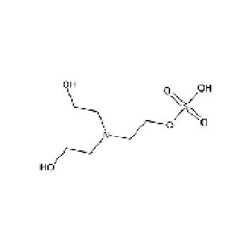 O=S(=O)(O)OCCN(CCO)CCO